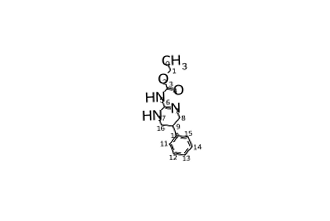 CCOC(=O)NC1=NCC(c2ccccc2)CN1